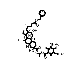 CC(=O)Nc1c(I)c(NC(C)=O)c(I)c(C(=O)OC(C)OC(=O)[C@@]2(O)CC[C@@]3(C)[C@H](C[C@@H](O)[C@@H]4[C@@H]3C[C@H](O)[C@]3(C)[C@@H]([C@H](C)CCC(=O)OCc5ccccc5)CC[C@@H]43)C2)c1I